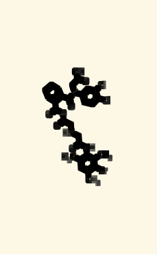 Cc1cc(C)c(NC(=O)CNCC(=O)OC(=O)C2C3C=CC(C3)C2C(=O)N(CC(=O)O)c2ccc(Cl)c(Cl)c2)c(C)c1Br